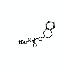 CC(C)(C)NC(=O)COC1CCc2ccccc2C1